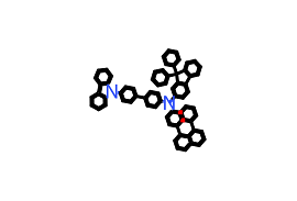 c1ccc(-c2cccc3cccc(-c4ccc(N(c5ccc(-c6ccc(-n7c8ccccc8c8ccccc87)cc6)cc5)c5ccc6c(c5)C(c5ccccc5)(c5ccccc5)c5ccccc5-6)cc4)c23)cc1